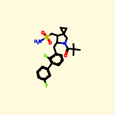 CC(C)(C)C(=O)N1CC2(CC2)C(CS(N)(=O)=O)C1Cc1cccc(-c2cccc(F)c2)c1F